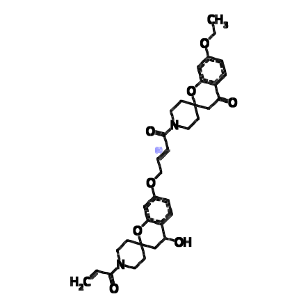 C=CC(=O)N1CCC2(CC1)CC(O)c1ccc(OC/C=C/C(=O)N3CCC4(CC3)CC(=O)c3ccc(OCC)cc3O4)cc1O2